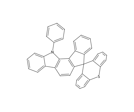 c1ccc(-n2c3ccccc3c3ccc4c(c32)-c2ccccc2C42c3ccccc3Sc3ccccc32)cc1